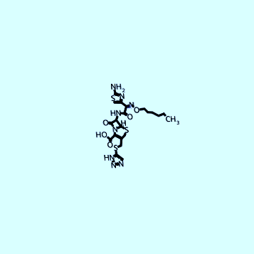 CCCCCCO/N=C(\C(=O)NC1C(=O)N2C(C(=O)O)=C(CSc3cnn[nH]3)CS[C@H]12)c1csc(N)n1